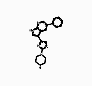 c1ccc(-c2cnc3[nH]cc(-c4csc(N5CCNCC5)n4)c3c2)cc1